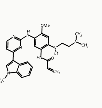 C=CC(=O)Nc1cc(Nc2nccc(-c3cn(C)c4ccccc34)n2)c(OC)cc1N(CC)CCN(C)C